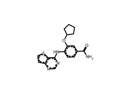 NC(=O)c1ccc(Nc2ncnc3ccsc23)c(OC2CCCC2)c1